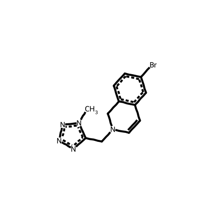 Cn1nnnc1CN1C=Cc2cc(Br)ccc2C1